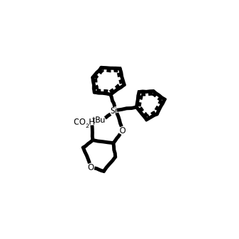 CC(C)(C)[Si](OC1CCOCC1C(=O)O)(c1ccccc1)c1ccccc1